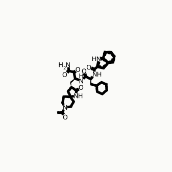 CC(=O)N1CCC2(CC1)C[C@H](C[C@H](NC(=O)[C@H](CC1CCCCC1)NC(=O)c1cc3ccccc3[nH]1)C(=O)C(N)=O)C(=O)N2